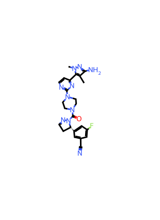 Cc1c(N)nn(C)c1-c1ccnc(N2CCN(C(=O)N3N=CC[C@H]3c3cc(F)cc(C#N)c3)CC2)n1